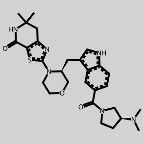 CN(C)[C@H]1CCN(C(=O)c2ccc3[nH]cc(C[C@H]4COCCN4c4nc5c(s4)C(=O)NC(C)(C)C5)c3c2)C1